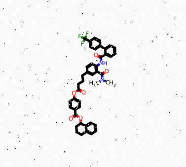 CN(C)C(=O)c1cc(CCCC(=O)Oc2ccc(C(=O)OC3CCCc4ccccc43)cc2)ccc1NC(=O)c1ccccc1-c1ccc(C(F)(F)F)cc1